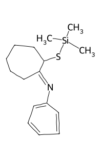 C[Si](C)(C)SC1CCCCC/C1=N\c1ccccc1